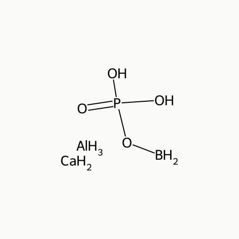 BOP(=O)(O)O.[AlH3].[CaH2]